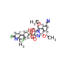 CCOCc1nc(=O)c(S(=O)(=O)c2ccc(-c3ccc(F)nc3C)c(F)c2)c(O)n1C(COC)c1cccc(C#N)c1